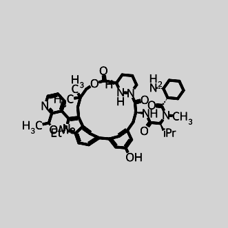 CCn1c(-c2cccnc2[C@H](C)OC)c2c3cc(ccc31)-c1cc(O)cc(c1)C[C@H](NC(=O)[C@H](C(C)C)N(C)C(=O)[C@H]1CCCC[C@H]1N)C(=O)N1CCC[C@H](N1)C(=O)OCC(C)(C)C2